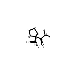 CC(C)C(=O)C1(C(=O)O)CCCC1